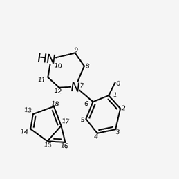 Cc1ccccc1N1CCNCC1.c1cc2cc-2c1